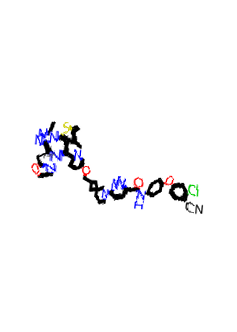 Cc1sc2c(c1C)C(c1ccc(OCC3CC4(CCCN(c5ccc(C(=O)N[C@H]6CC[C@H](Oc7ccc(C#N)c(Cl)c7)CC6)nn5)C4)C3)cn1)=N[C@@H](Cc1ncco1)c1nnc(C)n1-2